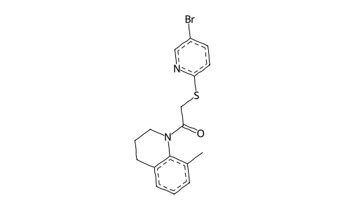 Cc1cccc2c1N(C(=O)CSc1ccc(Br)cn1)CCC2